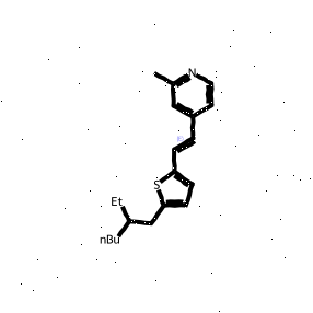 CCCCC(CC)Cc1ccc(/C=C/c2ccnc(C)c2)s1